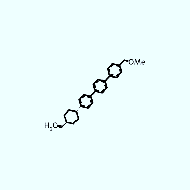 C=C[C@H]1CC[C@H](c2ccc(-c3ccc(-c4ccc(COC)cc4)cc3)cc2)CC1